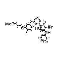 COCCCOc1cc(CC(CC(N)C(O)CC(C(=O)NC2CCNCC2)C(C)C)C(C)C)ccc1C